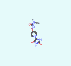 CCN(C(=O)NOC1CCN(C2NC(=O)NC2=O)CC1)C(C)(C)C